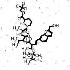 CC(C)C(NC(=O)C(/C=C/c1ccc2ccc(CO)nc2c1)[C@H](C)O[Si](C)(C)C(C)(C)C)C(=O)N[C@@H](C)C(=O)N1CCCC(C(=O)OCC(Cl)(Cl)Cl)N1